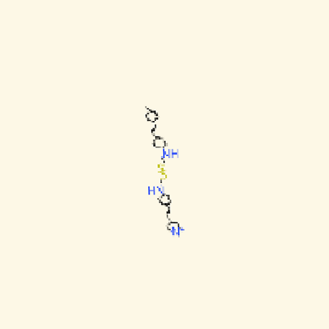 Cc1ccc(/C=C/c2ccc(NCCSSCCNc3ccc(/C=C/c4cc[n+](C)cc4)cc3)cc2)cc1